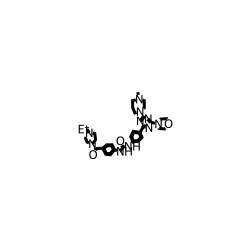 CCN1CCN(C(=O)c2ccc(NC(=O)Nc3ccc(-c4nc(N5CCOCC5)nc(N5CCCN(C)CC5)n4)cc3)cc2)CC1